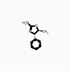 C[C@@H]1OC(N)=N[C@H]1c1ccccc1